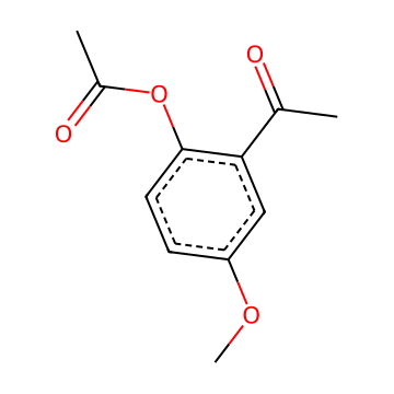 COc1ccc(OC(C)=O)c(C(C)=O)c1